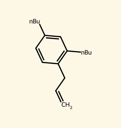 C=CCc1ccc(CCCC)cc1CCCC